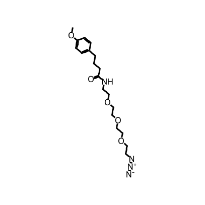 COc1ccc(CCCC(=O)NCCOCCOCCOCCN=[N+]=[N-])cc1